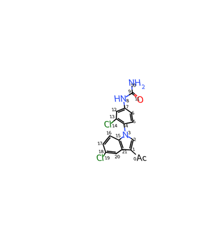 CC(=O)c1cn(-c2ccc(NC(N)=O)cc2Cl)c2ccc(Cl)cc12